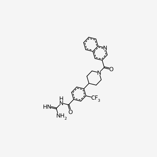 N=C(N)NC(=O)c1ccc(C2CCN(C(=O)c3cnc4ccccc4c3)CC2)c(C(F)(F)F)c1